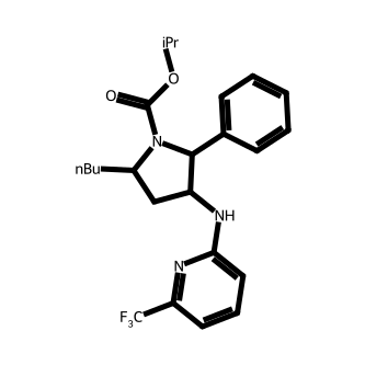 CCCCC1CC(Nc2cccc(C(F)(F)F)n2)C(c2ccccc2)N1C(=O)OC(C)C